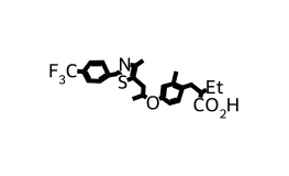 CCC(Cc1ccc(OC(C)Cc2sc(-c3ccc(C(F)(F)F)cc3)nc2C)cc1C)C(=O)O